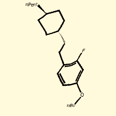 CCCCC[C@H]1CC[C@H](CCc2ccc(OCCCC)cc2F)CC1